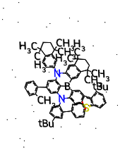 Cc1ccccc1-c1cc2c3c(c1)N(c1ccc(C(C)(C)C)cc1-c1ccccc1)c1cc4sc5cccc(C(C)(C)C)c5c4cc1B3c1cc3c(cc1N2c1ccc2c(c1)C(C)(C)CCC2(C)C)C(C)(C)CCC3(C)C